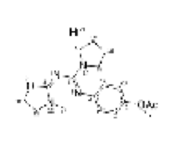 CC(=O)Oc1ccc(N=C(N=C2OCCN2C)N2CCCC2)cc1.I